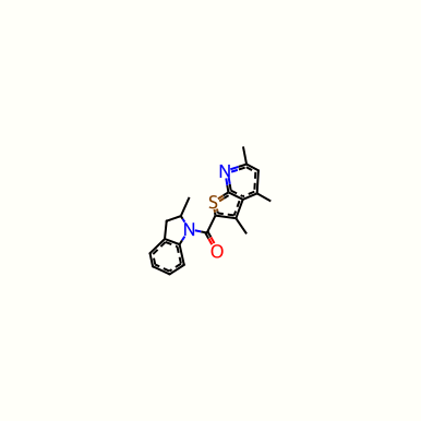 Cc1cc(C)c2c(C)c(C(=O)N3c4ccccc4CC3C)sc2n1